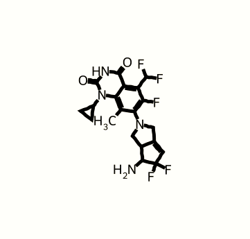 Cc1c(N2CC3=CC(F)(F)C(N)C3C2)c(F)c(C(F)F)c2c(=O)[nH]c(=O)n(C3CC3)c12